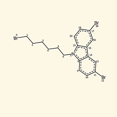 BrCCCCCCn1c2ccc(Br)cc2c2cc(Br)ccc21